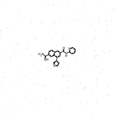 N=C(N)c1ccc2cc(C(=O)Nc3ccccn3)cc(-c3ccoc3)c2c1